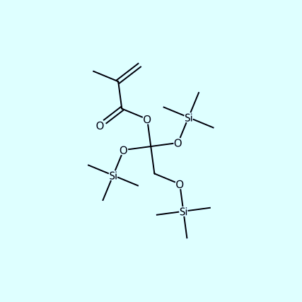 C=C(C)C(=O)OC(CO[Si](C)(C)C)(O[Si](C)(C)C)O[Si](C)(C)C